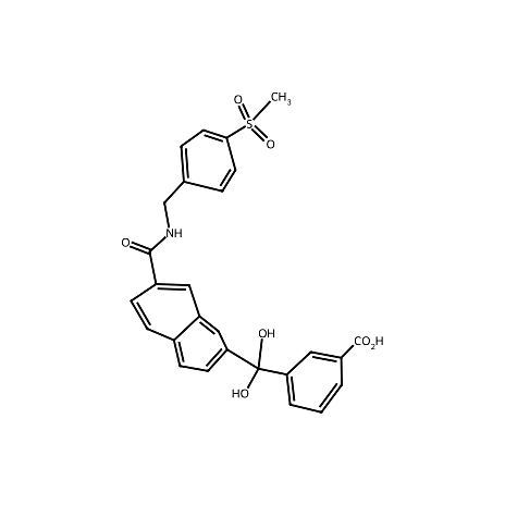 CS(=O)(=O)c1ccc(CNC(=O)c2ccc3ccc(C(O)(O)c4cccc(C(=O)O)c4)cc3c2)cc1